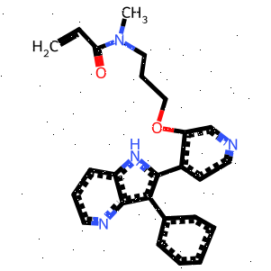 C=CC(=O)N(C)CCCOc1cnccc1-c1[nH]c2cccnc2c1-c1ccccc1